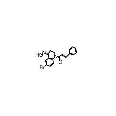 O=C(/C=C/c1ccccc1)N1CC/C(=N/O)c2cc(Br)ccc21